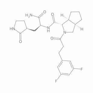 NC(=O)[C@H](C[C@@H]1CCNC1=O)NC(=O)[C@@H]1[C@H]2CCC[C@H]2CN1C(=O)CCc1cc(F)cc(F)c1